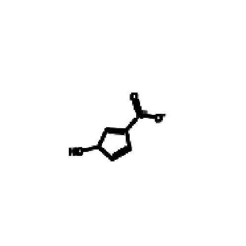 O=[N+]([O-])C1=CC(O)C=C1